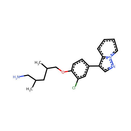 CC(CN)CC(C)COc1ccc(-c2cnn3ccccc23)cc1Cl